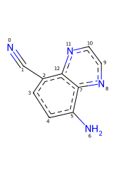 N#Cc1ccc(N)c2nccnc12